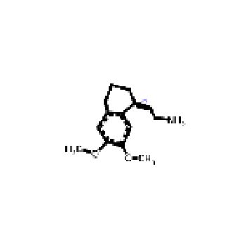 COc1cc2c(cc1OC)/C(=C\CN)CCC2